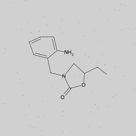 CCC1CN(Cc2ccccc2N)C(=O)O1